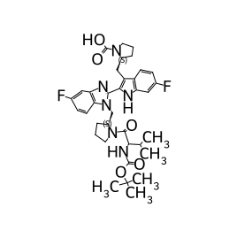 CC(C)C(NC(=O)OC(C)(C)C)C(=O)N1CCC[C@H]1Cn1c(-c2[nH]c3cc(F)ccc3c2C[C@@H]2CCCN2C(=O)O)nc2cc(F)ccc21